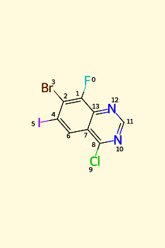 Fc1c(Br)c(I)cc2c(Cl)ncnc12